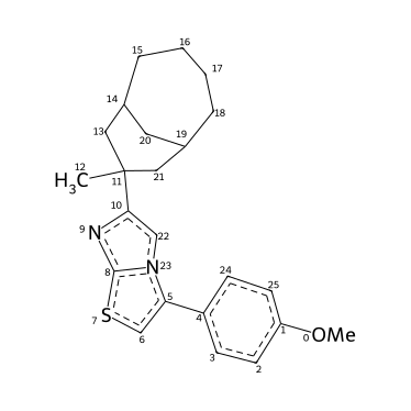 COc1ccc(-c2csc3nc(C4(C)CC5CCCCC(C5)C4)cn23)cc1